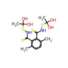 [CH2]c1ccc([CH2])c(C(=S)NSC(C)(O)O)c1C(=S)NSC(C)(O)O